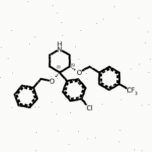 FC(F)(F)c1ccc(CO[C@H]2CNCC[C@]2(OCc2ccccc2)c2ccc(Cl)cc2)cc1